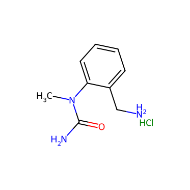 CN(C(N)=O)c1ccccc1CN.Cl